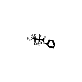 CC(C)(C)C(Cl)(Br)C(=O)Nc1ccccc1